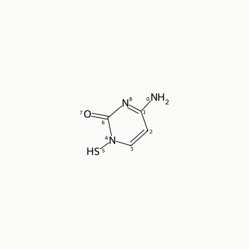 Nc1ccn(S)c(=O)n1